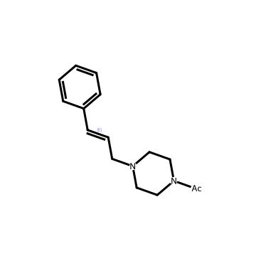 CC(=O)N1CCN(C/C=C/c2ccccc2)CC1